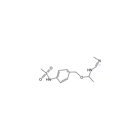 C/N=C\NC(C)OCc1ccc(NS(C)(=O)=O)cc1